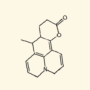 CC1C2=C3C(=C4OC(=O)CCC41)C=CCN3CC=C2